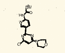 CC(C)(C)C(=O)Nc1ccc(-c2nc(Cl)cc(N3CCOCC3)n2)cn1